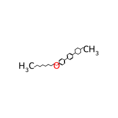 CCCCCCCCCOc1ccc(-c2ccc(C3CCC(CC)CC3)cc2)cc1